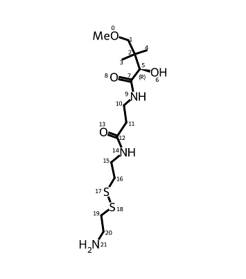 COCC(C)(C)[C@@H](O)C(=O)NCCC(=O)NCCSSCCN